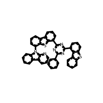 c1ccc(-c2nc(-c3cccc4c3sc3c(-n5c6ccccc6c6cccnc65)cccc34)nc(-c3cccc4sc5ccccc5c34)n2)cc1